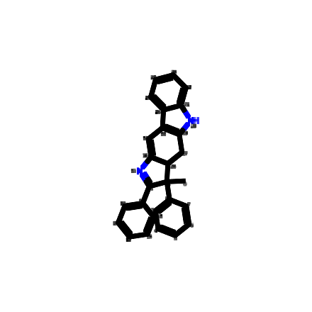 CC1(c2ccccc2)C(c2ccccc2)=NC2=Cc3c([nH]c4ccccc34)CC21